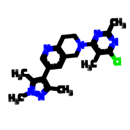 Cc1nc(Cl)c(C)c(N2CCc3ncc(-c4c(C)nn(C)c4C)cc3C2)n1